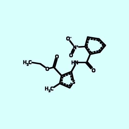 CCOC(=O)c1c(C)csc1NC(=O)c1ccccc1[N+](=O)[O-]